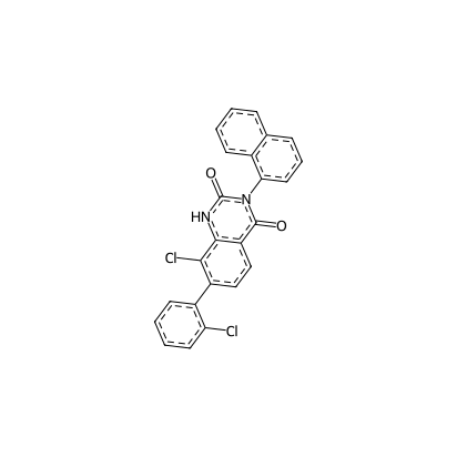 O=c1[nH]c2c(Cl)c(-c3ccccc3Cl)ccc2c(=O)n1-c1cccc2ccccc12